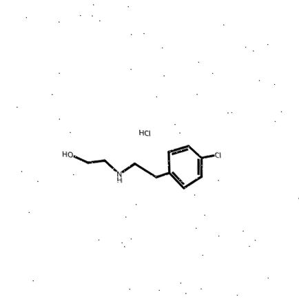 Cl.OCCNCCc1ccc(Cl)cc1